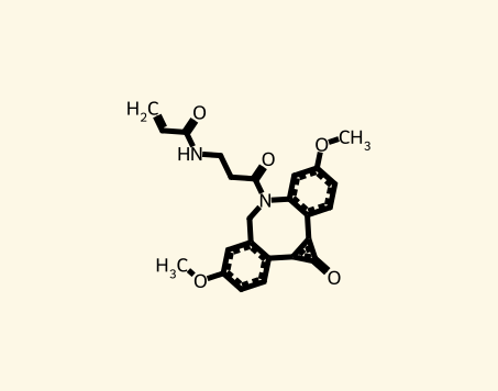 C=CC(=O)NCCC(=O)N1Cc2cc(OC)ccc2-c2c(c2=O)-c2ccc(OC)cc21